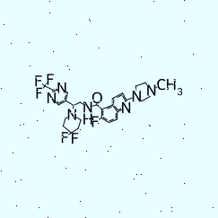 CN1CCN(c2ccc3c(C(=O)NCC(c4cnc(C(F)(F)F)nc4)N4CCC(F)(F)CC4)c(F)ccc3n2)CC1